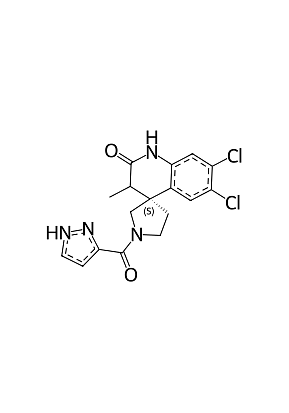 CC1C(=O)Nc2cc(Cl)c(Cl)cc2[C@]12CCN(C(=O)c1cc[nH]n1)C2